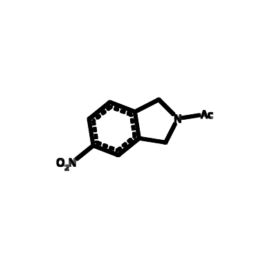 CC(=O)N1Cc2ccc([N+](=O)[O-])cc2C1